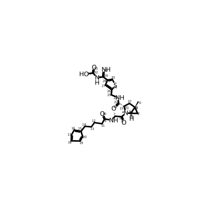 C[C@@]12C[C@@H]1N(C(=O)CNC(=O)CCCCc1ccccc1)[C@H](C(=O)NCc1cc(C(=N)NC(=O)O)cs1)C2